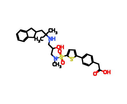 CN(CC(O)CNC(C)(C)CC1Cc2ccccc2C1)S(=O)(=O)c1ccc(-c2ccc(CC(=O)O)cc2)s1